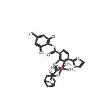 CC(C)(C)OC(=O)N1C2CC1CN(c1nc3c(C(=O)Oc4c(Cl)cc(Cl)cc4Cl)ccc(-c4nccs4)c3o1)C2